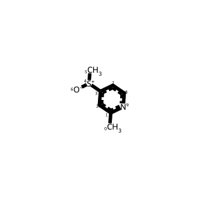 Cc1[c]c([S+](C)[O-])ccn1